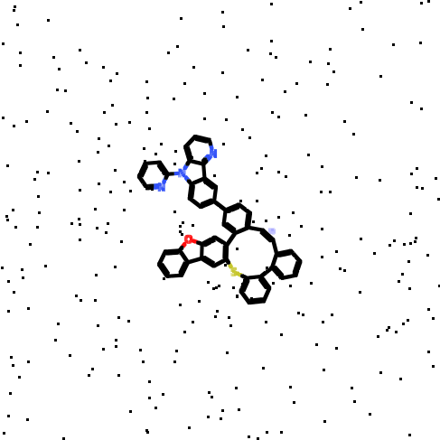 C1=C\c2ccc(-c3ccc4c(c3)c3ncccc3n4-c3ccccn3)cc2-c2cc3oc4ccccc4c3cc2Sc2ccccc2-c2ccccc2/1